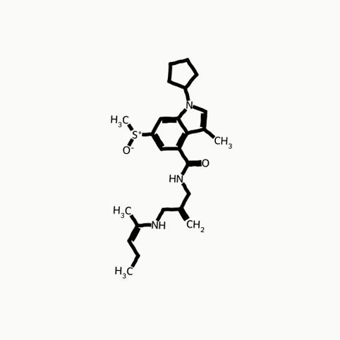 C=C(CNC(=O)c1cc([S+](C)[O-])cc2c1c(C)cn2C1CCCC1)CN/C(C)=C\CC